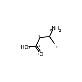 NC(I)CC(=O)O